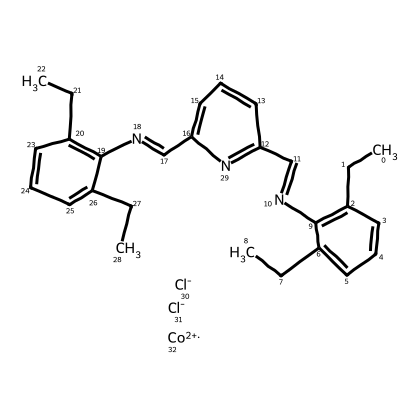 CCc1cccc(CC)c1N=Cc1cccc(C=Nc2c(CC)cccc2CC)n1.[Cl-].[Cl-].[Co+2]